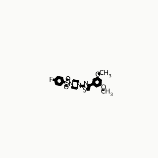 COc1cc(OC)cc(-c2csc(N3CCN(S(=O)(=O)c4ccc(F)cc4)CC3)n2)c1